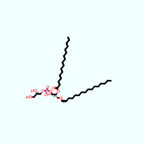 CCCCCCCCCCCCCC/C=C\OC[C@H](COP(=O)(O)OC[C@@H](O)CO)OC(=O)CCCCCCCCCCCCCCCC